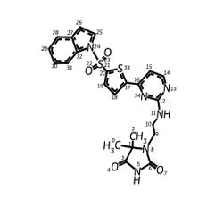 CC1(C)C(=O)NC(=O)N1CCNc1nccc(-c2ccc(S(=O)(=O)n3ccc4ccccc43)s2)n1